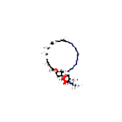 C[C@H]1C[C@H](O)[C@@H](C)/C=C/C=C/C=C/C=C/C=C/C=C/C=C/[C@H](O[C@@H]2OC[C@@H](O)[C@H](/N=C(\N)N(C)O)[C@@H]2O)C[C@@H]2O[C@](O)(C[C@@H](O)C[C@@H](O)[C@H](O)CC[C@@H](O)C[C@@H](O)CC(=O)O1)C[C@H](O)[C@H]2NC(=O)NO